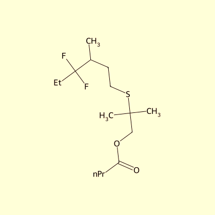 CCCC(=O)OCC(C)(C)SCCC(C)C(F)(F)CC